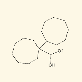 OC(O)C1(C2CCCCCCC2)CCCCCCC1